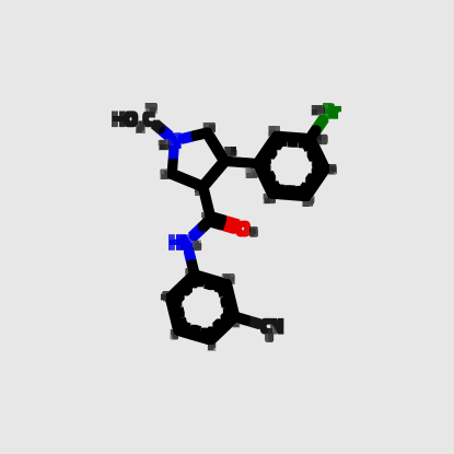 N#Cc1cccc(NC(=O)C2CN(C(=O)O)CC2c2cccc(Br)c2)c1